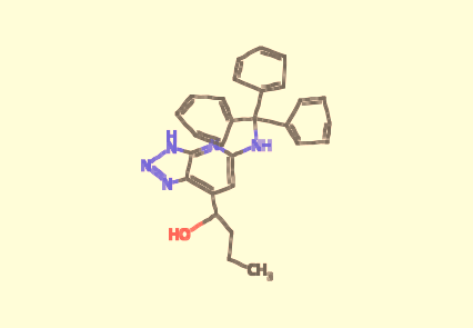 CCCC(O)c1cc(NC(c2ccccc2)(c2ccccc2)c2ccccc2)nc2[nH]nnc12